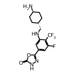 N[C@H]1CC[C@H](CNc2cc(-c3n[nH]c(=O)o3)cc(F)c2C(F)(F)F)CC1